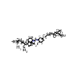 C=C1CC[C@H](OCCCNC(=O)CC(C)(C)OCCCC)C/C1=C/C=C1\CCC[C@]2(C)C([C@H](C)CCCC(C)(C)O)CC[C@@H]12